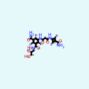 NC(=O)C1=C(I)C(NC(=O)CC(=O)Nc2c(I)c(C(N)=O)c(I)c(C(=O)NCC(O)CO)c2I)=C1I